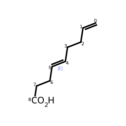 C=CCC/C=C/CCC(=O)O